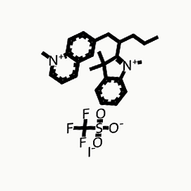 CCCC(Cc1ccc2c(ccc[n+]2C)c1)C1=[N+](C)c2ccccc2C1(C)C.O=S(=O)([O-])C(F)(F)F.[I-]